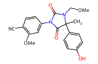 COCN1C(=O)N(c2ccc(C#N)c(OC)c2)C(=O)C1(C)c1ccc(O)cc1